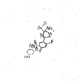 Nc1ncc(-c2cc(S(=O)(=O)N[C@H]3CC[C@@H](O)CC3)c(F)cc2F)nc1C(=O)C1CC1